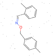 Cc1ccc(CO/N=[C]\c2ccccc2C)cc1